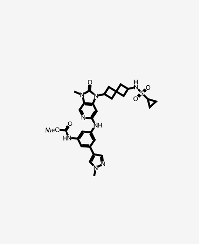 COC(=O)Nc1cc(Nc2cc3c(cn2)n(C)c(=O)n3C2CC3(CC(NS(=O)(=O)C4CC4)C3)C2)cc(-c2cnn(C)c2)c1